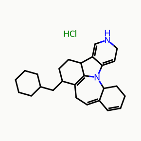 C1=CC2=CCC3=C4C(CCC3CC3CCCCC3)C3=CNCC=C3N4C2CC1.Cl